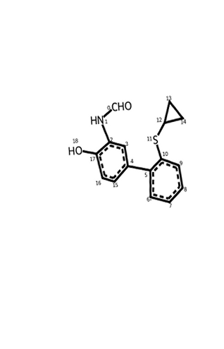 O=CNc1cc(-c2[c]cccc2SC2CC2)ccc1O